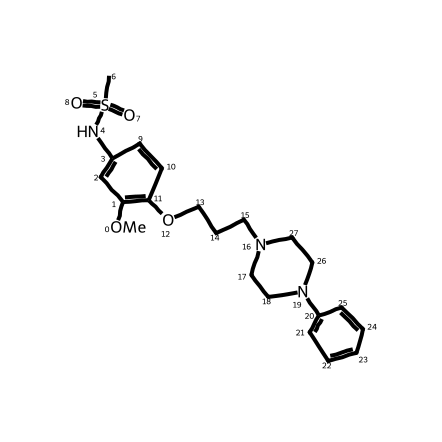 COc1cc(NS(C)(=O)=O)ccc1OCCCN1CCN(c2ccccc2)CC1